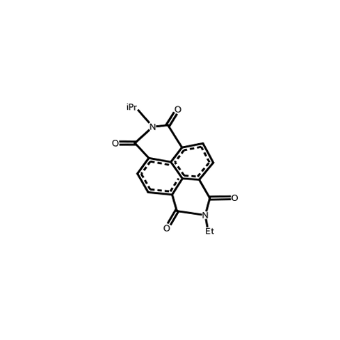 CCN1C(=O)c2ccc3c4c(ccc(c24)C1=O)C(=O)N(C(C)C)C3=O